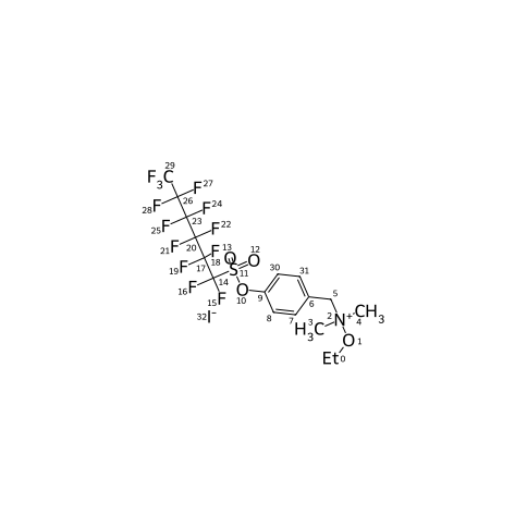 CCO[N+](C)(C)Cc1ccc(OS(=O)(=O)C(F)(F)C(F)(F)C(F)(F)C(F)(F)C(F)(F)C(F)(F)F)cc1.[I-]